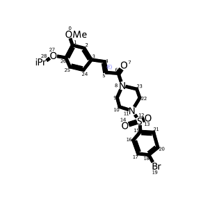 COc1cc(/C=C/C(=O)N2CCN(S(=O)(=O)c3ccc(Br)cc3)CC2)ccc1OC(C)C